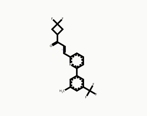 Cc1cc(-c2cccc(/C=C/C(=O)C3CC(F)(F)C3)n2)cc(C(F)(F)F)c1